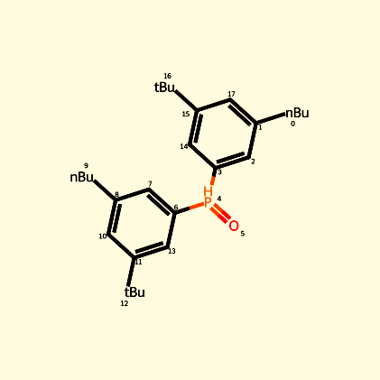 CCCCc1cc([PH](=O)c2cc(CCCC)cc(C(C)(C)C)c2)cc(C(C)(C)C)c1